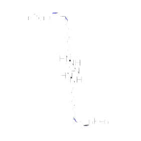 CCCCC/C=C\C/C=C\CCCCCCCCNNCC(NNCCCCCCCC/C=C\C/C=C\CCCCC)N(C)C